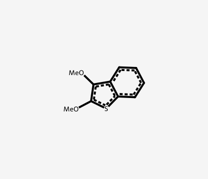 COc1sc2ccccc2c1OC